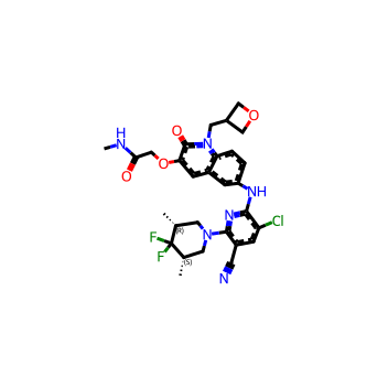 CNC(=O)COc1cc2cc(Nc3nc(N4C[C@@H](C)C(F)(F)[C@@H](C)C4)c(C#N)cc3Cl)ccc2n(CC2COC2)c1=O